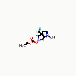 CCOC(=O)ON1CC2N(C)CCC2(CF)C1